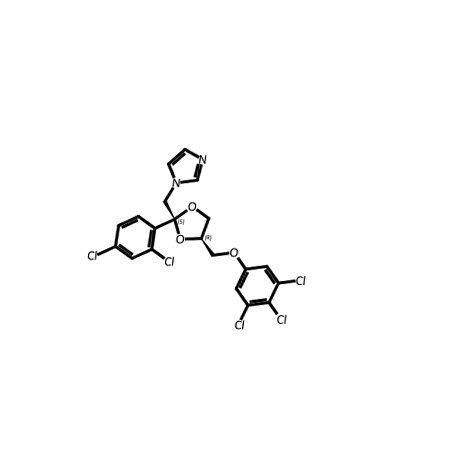 Clc1ccc([C@]2(Cn3ccnc3)OC[C@@H](COc3cc(Cl)c(Cl)c(Cl)c3)O2)c(Cl)c1